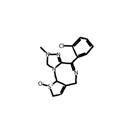 CN1CN2C(=N1)C(c1ccccc1Cl)=NCC1=CC[S+]([O-])C12